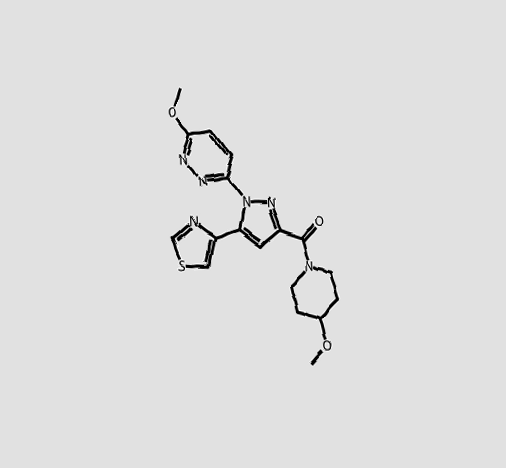 COc1ccc(-n2nc(C(=O)N3CCC(OC)CC3)cc2-c2cscn2)nn1